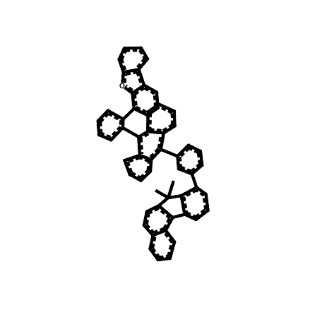 CC1(C)c2ccc3ccccc3c2-c2cccc(-c3cccc(-c4c5ccccc5c(-c5ccccc5-c5cccc6c5oc5ccccc56)c5ccccc45)c3)c21